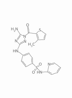 Cc1ccsc1C(=O)n1nc(Nc2ccc(S(=O)(=O)Nc3ccccn3)cc2)nc1N